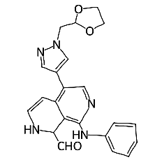 O=CC1NC=Cc2c(-c3cnn(CC4OCCO4)c3)cnc(Nc3ccccc3)c21